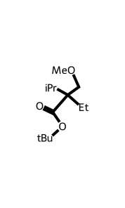 CCC(COC)(C(=O)OC(C)(C)C)C(C)C